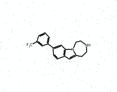 FC(F)(F)c1cccc(-c2ccc3cc4n(c3c2)CCNCC4)c1